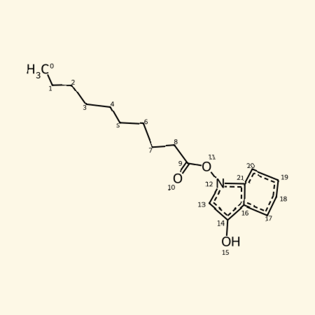 CCCCCCCCCC(=O)On1cc(O)c2ccccc21